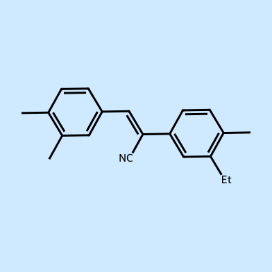 CCc1cc(/C(C#N)=C/c2ccc(C)c(C)c2)ccc1C